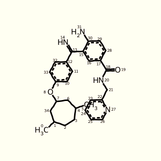 CC1CCC(C)CC(Oc2ccc(C(=N)c3cc(C(=O)NCc4ccccn4)ccc3N)cc2)C1